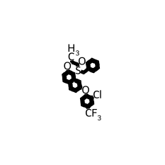 CC(Oc1ccc2ccc(Oc3ccc(C(F)(F)F)cc3Cl)cc2c1)C(=O)SCc1ccccc1